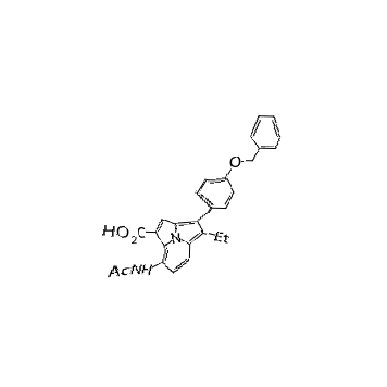 CCc1c(-c2ccc(OCc3ccccc3)cc2)c2cc(C(=O)O)c3c(NC(C)=O)ccc1n23